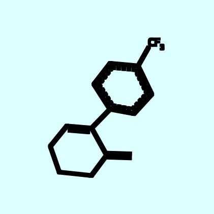 C=C1CCCC=C1c1ccc(C(F)(F)F)cc1